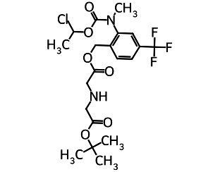 CC(Cl)OC(=O)N(C)c1cc(C(F)(F)F)ccc1COC(=O)CNCC(=O)OC(C)(C)C